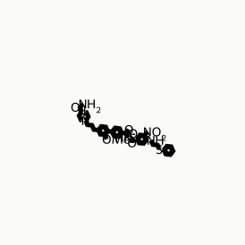 COc1cc(CCCN2CCN(C(N)=O)CC2)ccc1-c1ccc(C(=O)NS(=O)(=O)c2ccc(NCCSc3ccccc3)c([N+](=O)[O-])c2)cc1